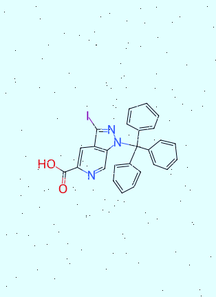 O=C(O)c1cc2c(I)nn(C(c3ccccc3)(c3ccccc3)c3ccccc3)c2cn1